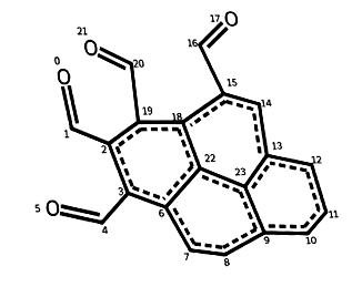 O=Cc1c(C=O)c2ccc3cccc4cc(C=O)c(c1C=O)c2c34